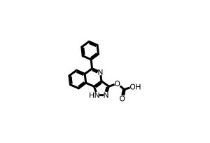 O=C(O)Oc1n[nH]c2c1nc(-c1ccccc1)c1ccccc12